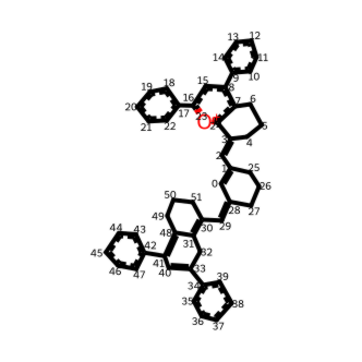 C1=C(/C=C2\CCCc3c(-c4ccccc4)cc(-c4ccccc4)[o+]c32)CCC/C1=C/C1=C2CC(c3ccccc3)=CC(c3ccccc3)=C2CCC1